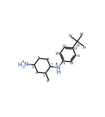 CC1CC(N)CCC1Nc1ccc(C(C)(C)C)cc1